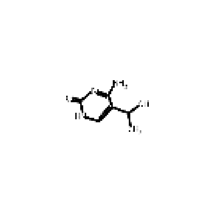 CC(O)c1c[nH]c(=O)nc1N